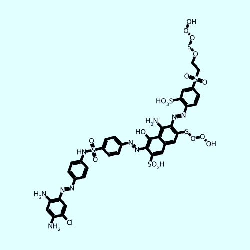 Nc1cc(N)c(/N=N/c2ccc(NS(=O)(=O)c3ccc(/N=N/c4c(S(=O)(=O)O)cc5cc(SOOO)c(/N=N/c6ccc(S(=O)(=O)CCOSOOO)cc6S(=O)(=O)O)c(N)c5c4O)cc3)cc2)cc1Cl